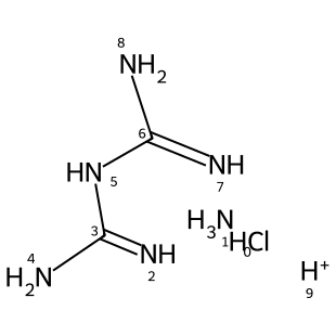 Cl.N.N=C(N)NC(=N)N.[H+]